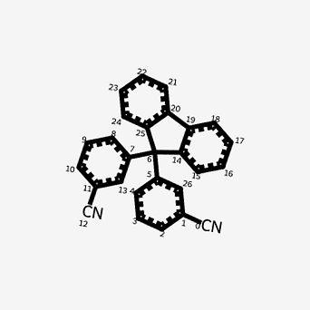 N#Cc1cccc(C2(c3cccc(C#N)c3)c3ccccc3-c3ccccc32)c1